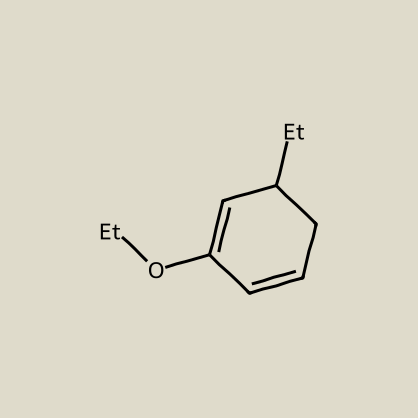 CCOC1=CC(CC)CC=C1